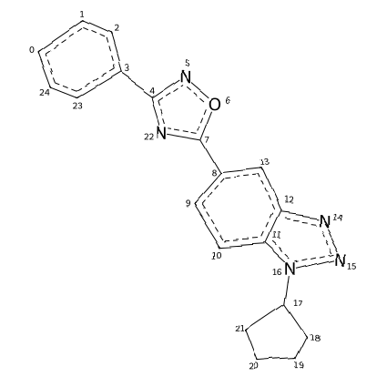 c1ccc(-c2noc(-c3ccc4c(c3)nnn4C3CCCC3)n2)cc1